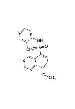 COc1ccc(S(=O)(=O)Nc2ccccc2Cl)c2cccnc12